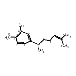 CC(C)=CCC[C@H](C)c1ccc(C)c(O)c1